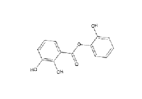 O=C(Oc1ccccc1O)c1cccc(O)c1O